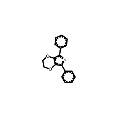 c1ccc(-c2sc(-c3ccccc3)c3c2OCCO3)cc1